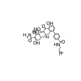 CN(C)CCNC(=O)c1ccc(-c2ccc(O)c3c2C[C@H]2CC4CC(O)=C(C(N)=O)C(=O)[C@@]4(O)C(O)=C2C3=O)cc1